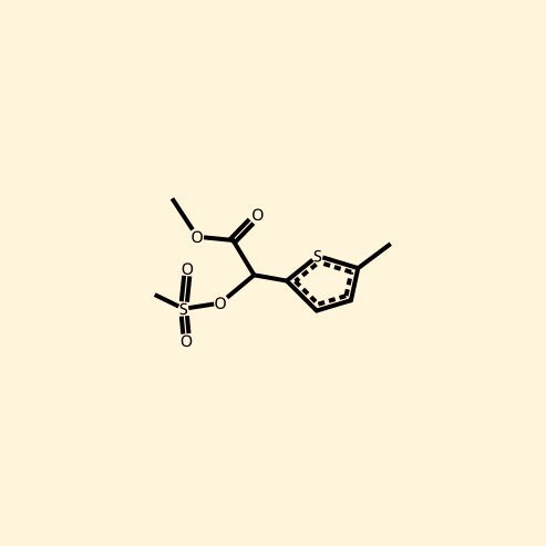 COC(=O)C(OS(C)(=O)=O)c1ccc(C)s1